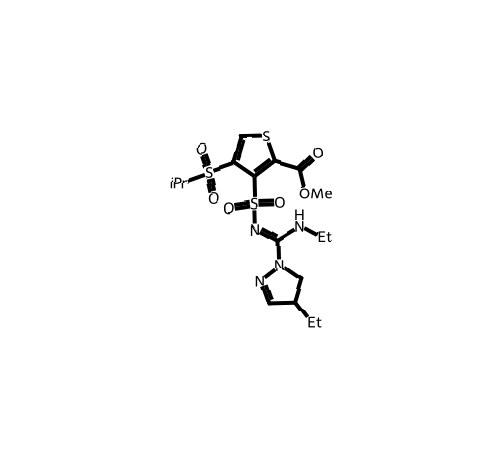 CCN/C(=N\S(=O)(=O)c1c(S(=O)(=O)C(C)C)csc1C(=O)OC)N1CC(CC)C=N1